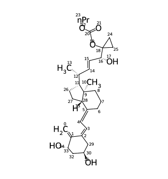 C=C1/C(=C\C=C2/CCC[C@]3(C)[C@@H]([C@H](C)/C=C/[C@@H](O)C4(OC(=O)OCCC)CC4)CC[C@@H]23)C[C@@H](O)C[C@@H]1O